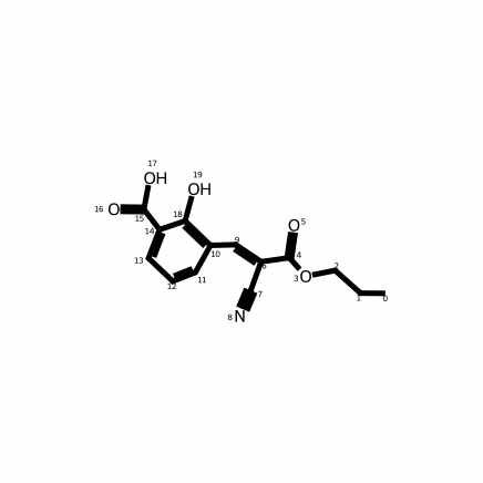 CCCOC(=O)/C(C#N)=C/c1cccc(C(=O)O)c1O